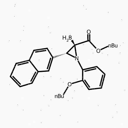 B[C@]1(C(=O)OCCCC)[C@@H](c2ccc3ccccc3c2)N1c1ccccc1OCCCC